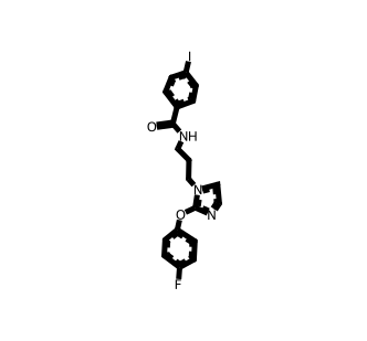 O=C(NCCCn1ccnc1Oc1ccc(F)cc1)c1ccc(I)cc1